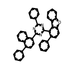 c1ccc(-c2nc(-c3ccc(-c4ccccc4)c4ccccc34)nc(-c3c(-c4ccccc4)ccc4oc5ccccc5c34)n2)cc1